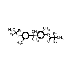 CCC(C)(CC)Oc1ccc(C(C)(C)c2ccc(OC(=O)C(C)(CC)CC)c(C)c2)cc1C